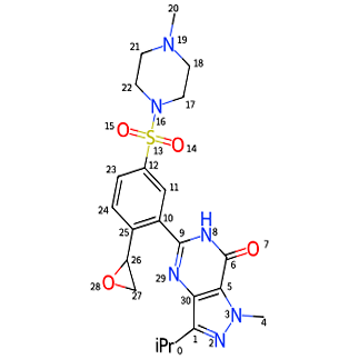 CC(C)c1nn(C)c2c(=O)[nH]c(-c3cc(S(=O)(=O)N4CCN(C)CC4)ccc3C3CO3)nc12